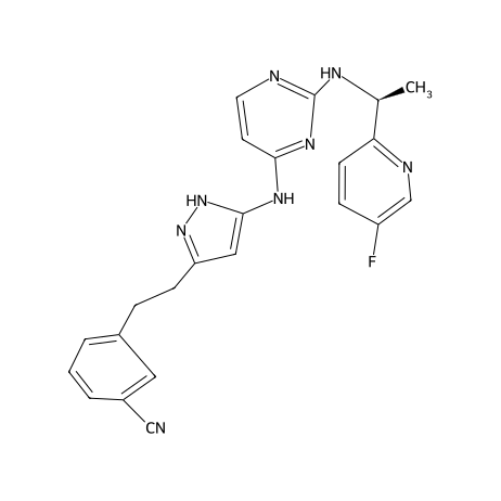 C[C@H](Nc1nccc(Nc2cc(CCc3cccc(C#N)c3)n[nH]2)n1)c1ccc(F)cn1